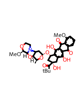 COc1cccc2c1C(=O)c1c(O)c3c(c(O)c1C2=O)C[C@@](O)(C(=O)C(C)(C)C)C[C@@H]3O[C@H]1CC2[C@H](O[C@@H]3[C@@H](OC)OCCN23)[C@H](C)O1